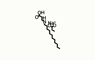 CCC(=O)[O-].CCCCCCCCCCCCNCCC(=O)O.[Na+]